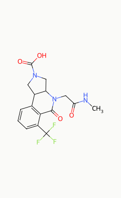 CNC(=O)CN1C(=O)c2c(cccc2C(F)(F)F)C2CN(C(=O)O)CC21